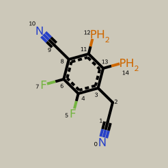 N#CCc1c(F)c(F)c(C#N)c(P)c1P